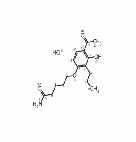 CCCc1c(OCCCCC(N)=O)ccc(C(C)=O)c1O.Cl